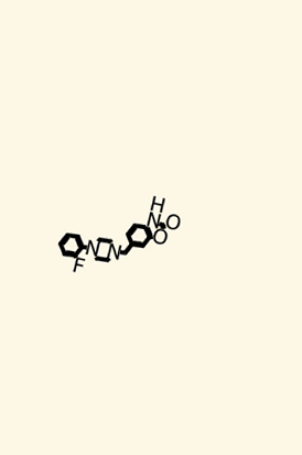 O=c1[nH]c2ccc(CN3CCN(c4ccccc4F)CC3)cc2o1